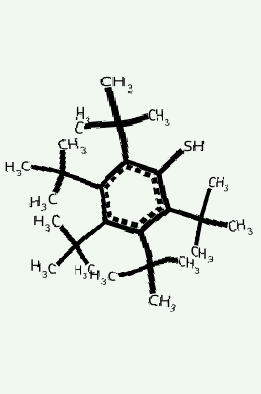 CC(C)(C)c1c(S)c(C(C)(C)C)c(C(C)(C)C)c(C(C)(C)C)c1C(C)(C)C